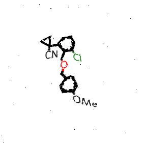 COc1ccc(COCc2c(Cl)cccc2C2(C#N)CC2)cc1